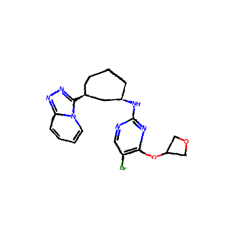 Brc1cnc(N[C@@H]2CCC[C@H](c3nnc4ccccn34)C2)nc1OC1COC1